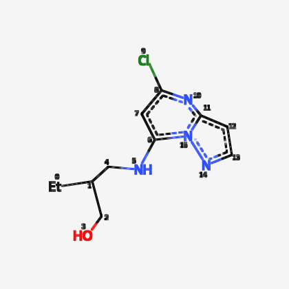 CCC(CO)CNc1cc(Cl)nc2ccnn12